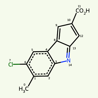 Cc1cc2c(cc1Cl)C1=CC(C(=O)O)=CC1=N2